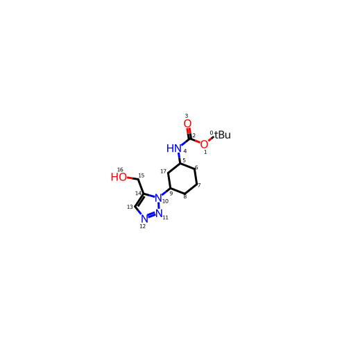 CC(C)(C)OC(=O)NC1CCCC(n2nncc2CO)C1